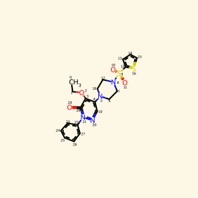 CCOc1c(N2CCN(S(=O)(=O)c3cccs3)CC2)cnn(-c2ccccc2)c1=O